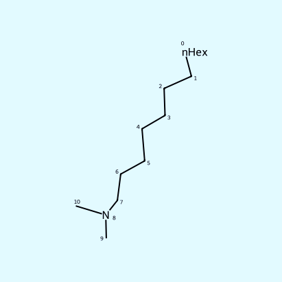 [CH2]CCCCCCCCCCCCN(C)C